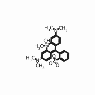 CN(C)c1ccc2c(c1)[Si](C)(C)C1=CC(=[N+](C)C)C=CC1=C2c1ccccc1S(=O)(=O)[O-]